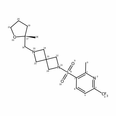 Cc1nc(C(F)(F)F)ccc1S(=O)(=O)N1CC2(CN(C[C@@]3(C)CCCO3)C2)C1